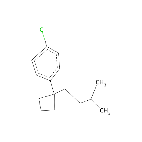 CC(C)CCC1(c2ccc(Cl)cc2)CCC1